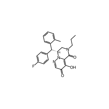 CCCN1C[C@@H](C(c2ccc(F)cc2)c2ccccc2C)n2ncc(=O)c(O)c2C1=O